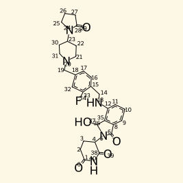 O=C1CCC(N2C(=O)c3cccc(NCc4ccc(CN5CCC(N6CCCC6=O)CC5)cc4F)c3C2O)C(=O)N1